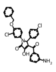 Nc1cccc(C(=O)C2=C(O)C(=O)N(c3ccc(OCc4ccccc4)c(Cl)c3)C2c2ccc(Cl)cc2)c1